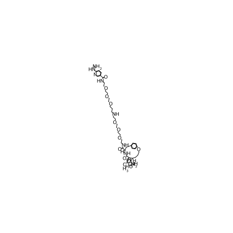 CC(C)C[C@H]1C(=O)N[C@H](C(=O)NCCOCCOCCOCCNCCCOCCOCCOCCNC(=O)c2ccc(NN)nc2)Cc2ccc(cc2)OCCC[C@@H]1C(=O)NO